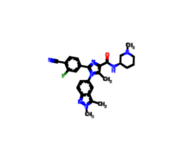 Cc1c2cc(-n3c(-c4ccc(C#N)c(F)c4)nc(C(=O)N[C@@H]4CCCN(C)C4)c3C)ccc2nn1C